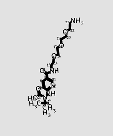 CC(C)(C)N(Nc1ccc(C(=O)NCCOCCOCCOCCN)cn1)C(=O)O